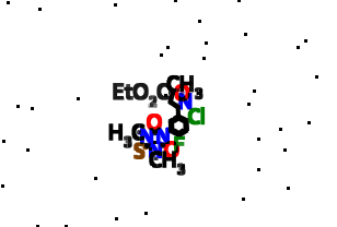 CCOC(=O)[C@]1(C)CC(c2cc(-n3c(=O)n(C)c(=S)n(C)c3=O)c(F)cc2Cl)=NO1